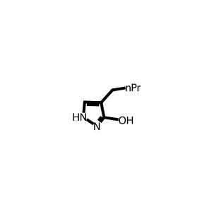 CCCCc1c[nH]nc1O